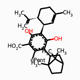 C=C(C)[C@@H]1CCC(C)=C[C@H]1c1c(O)c(C(=O)O)c(CCCCC)c(C2CC3CCC2(C)C3(C)C)c1O